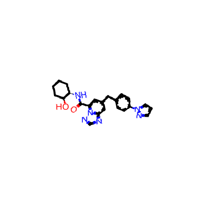 O=C(N[C@H]1CCCC[C@@H]1O)c1cc(Cc2ccc(-n3cccn3)cc2)cc2ncnn12